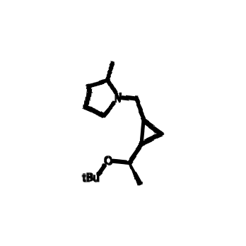 CC1CCCN1CC1CC1[C@@H](C)OC(C)(C)C